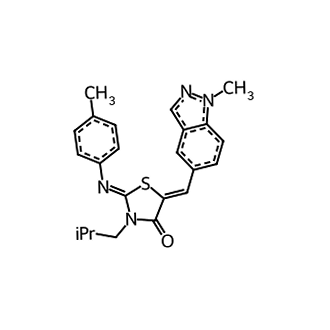 Cc1ccc(N=C2SC(=Cc3ccc4c(cnn4C)c3)C(=O)N2CC(C)C)cc1